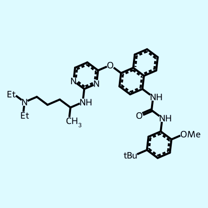 CCN(CC)CCCC(C)Nc1nccc(Oc2ccc(NC(=O)Nc3cc(C(C)(C)C)ccc3OC)c3ccccc23)n1